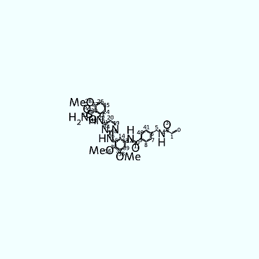 C=CC(=O)NCc1ccc(C(=O)Nc2cc(Nc3nccc(Nc4cccc(OC)c4S(N)(=O)=O)n3)c(OC)c(OC)c2)cc1